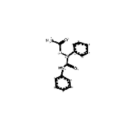 NC(=O)ON(C(=O)Nc1ccccc1)c1ccccc1